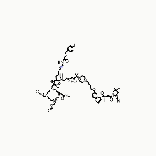 C/C(=N\CCCCC(NC(=O)CN1CCN(COC=O)CCN(COC=O)CCN(CC(=O)O)CC1)C(=O)NCCSC[C@@H](O)C(=O)N1CCN(CCCCOc2ccc3nccc(C(=O)NCC(=O)N4CC(C)(F)C[C@@H]4C#N)c3c2)CC1)NC(=O)CCCc1ccc(I)cc1